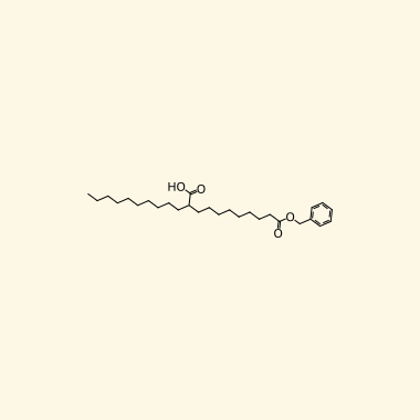 CCCCCCCCCCC(CCCCCCCCC(=O)OCc1ccccc1)C(=O)O